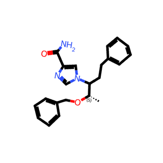 C[C@H](OCc1ccccc1)C(CCc1ccccc1)n1cnc(C(N)=O)c1